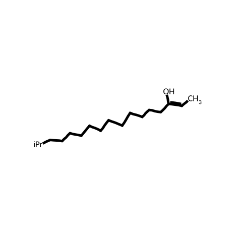 CC=C(O)CCCCCCCCCCCCC(C)C